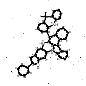 CC1(C)c2ccccc2Nc2c(-c3c4c5c(c6ccccc36)c3ccccc3n5-c3cc5oc(-c6ccccc6)cc5cc3B4)cccc21